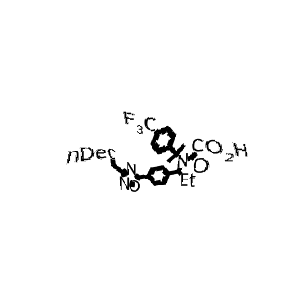 CCCCCCCCCCCc1noc(-c2ccc(C(CC)N(C(=O)C(=O)O)C(C)(C)c3ccc(C(F)(F)F)cc3)cc2)n1